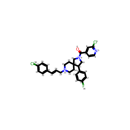 O=C(c1ccnc(Cl)c1)N1CC(c2ccc(F)cc2)C2(CCN(CC=Cc3ccc(Cl)cc3)CC2)C1